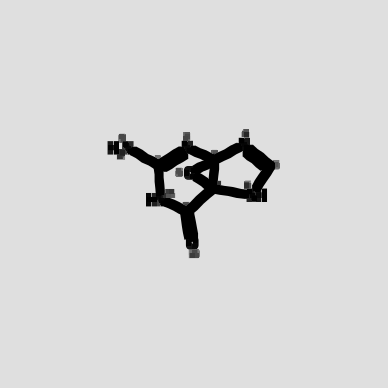 NC1=NC23N=CNC2(O3)C(=O)N1